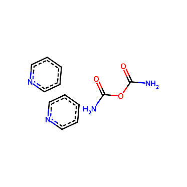 NC(=O)OC(N)=O.c1ccncc1.c1ccncc1